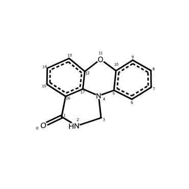 O=C1NCN2c3ccccc3Oc3cccc1c32